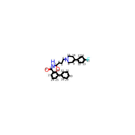 O=C1NC(CCCN2CC=C(c3ccc(F)cc3)CC2)Oc2c1cccc2-c1ccccc1